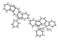 CC1(C)c2ccccc2-c2ccc3c4cc(-c5ccc6c7cc8oc9ccccc9c8cc7n(-c7ccccc7)c6c5)ccc4n(-c4ccccc4)c3c21